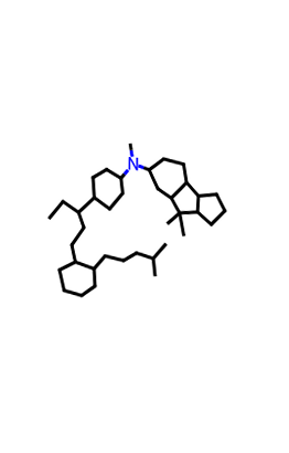 CCC(CCC1CCCCC1CCCC(C)C)C1CCC(N(C)C2CCC3C4CCCC4C(C)(C)C3C2)CC1